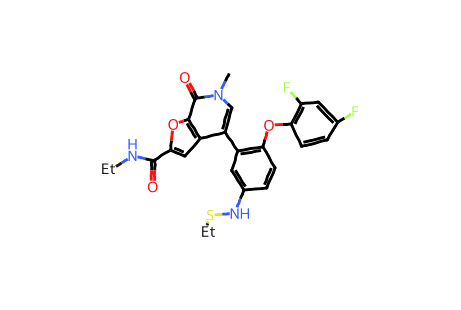 CCNC(=O)c1cc2c(-c3cc(NSCC)ccc3Oc3ccc(F)cc3F)cn(C)c(=O)c2o1